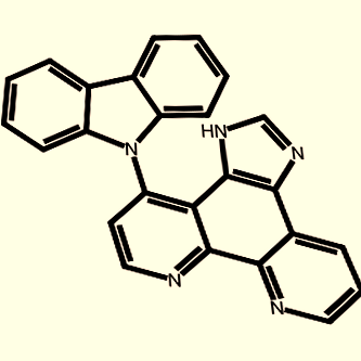 c1cnc2c(c1)c1nc[nH]c1c1c(-n3c4ccccc4c4ccccc43)ccnc21